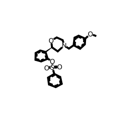 COc1ccc(CN2CCO[C@H](c3ccccc3OS(=O)(=O)c3ccccc3)C2)cc1